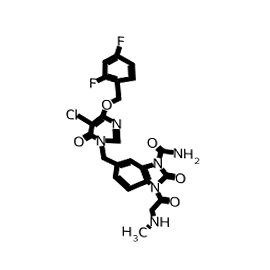 CNCC(=O)n1c(=O)n(C(N)=O)c2cc(Cn3cnc(OCc4ccc(F)cc4F)c(Cl)c3=O)ccc21